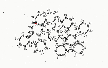 c1ccc(-c2cccc3c2oc2c(-c4cccc5c6ccccc6c6ccccc6c45)c(-c4cccc5ccccc45)c(-c4cccc5c6ccccc6c6ccccc6c45)nc23)cc1